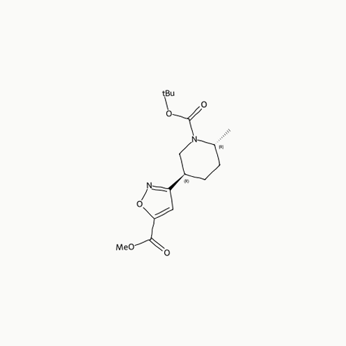 COC(=O)c1cc([C@@H]2CC[C@@H](C)N(C(=O)OC(C)(C)C)C2)no1